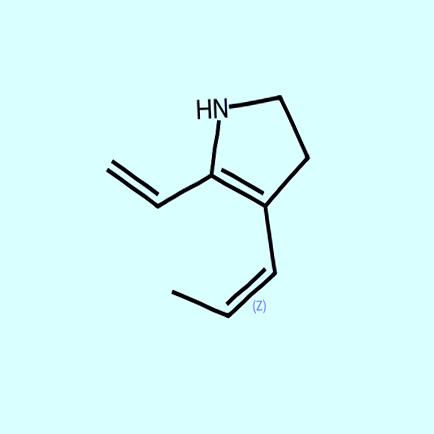 C=CC1=C(/C=C\C)CCN1